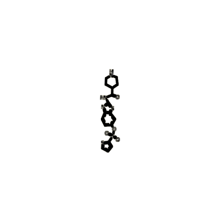 O=C(Nc1nc2ccc(OS(=O)(=O)c3cccs3)cc2s1)C1CCNCC1